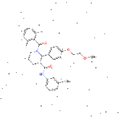 Cc1cccc(C)c1C(=O)N1CCCC(C(=O)Nc2cccc(C(C)(C)C)c2)C1c1ccc(OCCOC(C)(C)C)cc1